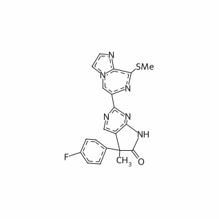 CSc1nc(-c2ncc3c(n2)NC(=O)C3(C)c2ccc(F)cc2)cn2ccnc12